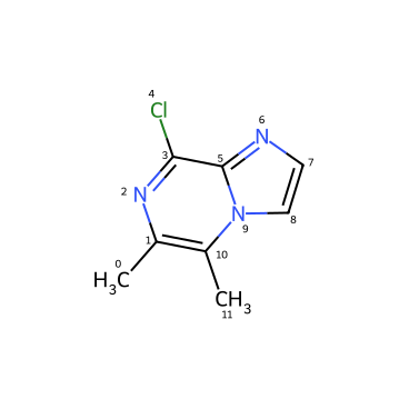 Cc1nc(Cl)c2nccn2c1C